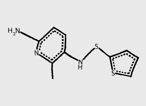 Cc1nc(N)ccc1NSc1cccs1